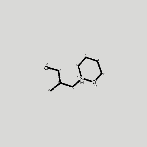 CC(CCl)C[SiH]1CCCCO1